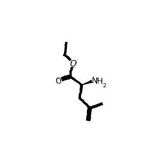 C=C(C)C[C@H](N)C(=O)OCC